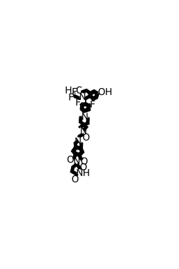 C[C@@H]1Cc2cc(O)ccc2[C@@H](c2c(F)cc(N3CCC4(CC3)CN(C(=O)CN3Cc5cc6c(cc5C3)C(=O)N(C3CCC(=O)NC3=O)C6=O)C4)cc2F)N1CC(F)F